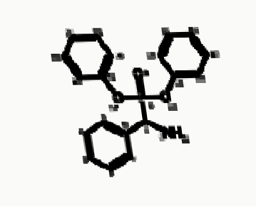 NC(c1ccccc1)P(=O)(Oc1ccccc1)Oc1ccccc1